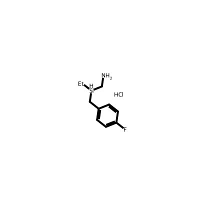 CC[SiH](CN)Cc1ccc(F)cc1.Cl